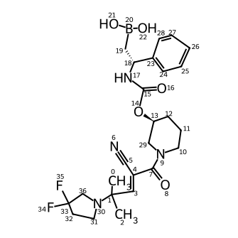 CC(C)(C=C(C#N)C(=O)N1CCC[C@H](OC(=O)N[C@H](CB(O)O)c2ccccc2)C1)N1CCC(F)(F)C1